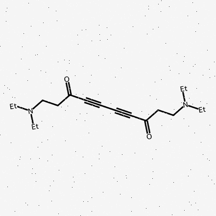 CCN(CC)CCC(=O)C#CC#CC(=O)CCN(CC)CC